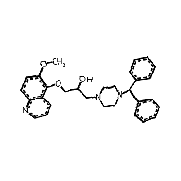 COc1ccc2ncccc2c1OCC(O)CN1CCN(C(c2ccccc2)c2ccccc2)CC1